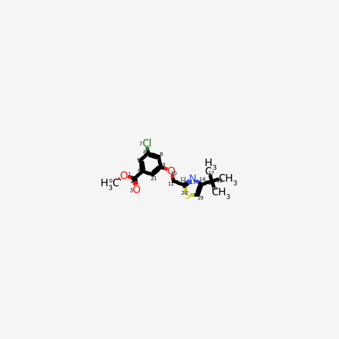 COC(=O)c1cc(Cl)cc(OCc2nc(C(C)(C)C)cs2)c1